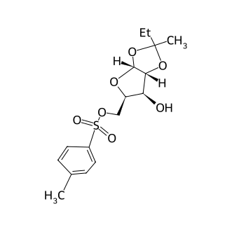 CCC1(C)O[C@H]2O[C@H](COS(=O)(=O)c3ccc(C)cc3)[C@H](O)[C@H]2O1